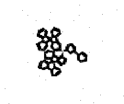 c1ccc(-c2cccc(N(c3ccc4c(c3)-c3ccccc3C4(c3ccccc3)c3ccccc3)c3cccc4c3-c3ccccc3C43c4ccccc4-c4ccccc43)c2)cc1